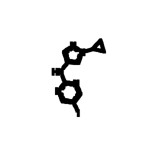 Ic1cnc(Nc2cnn(C3CC3)c2)nc1